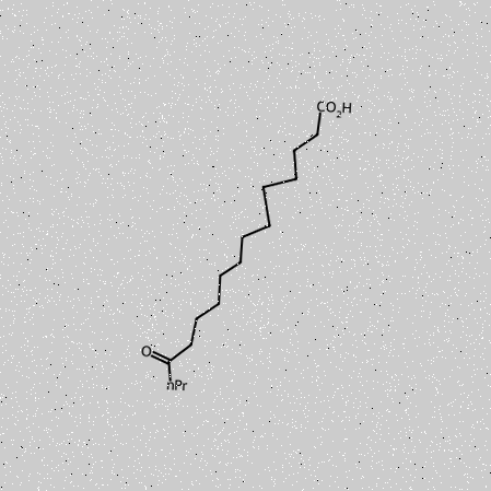 CCCC(=O)CCCCCCCCCCCC(=O)O